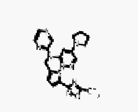 FC(F)(F)c1nc(-c2ccc(CN(c3cnccn3)c3cc(N4CCCC4)cnn3)s2)no1